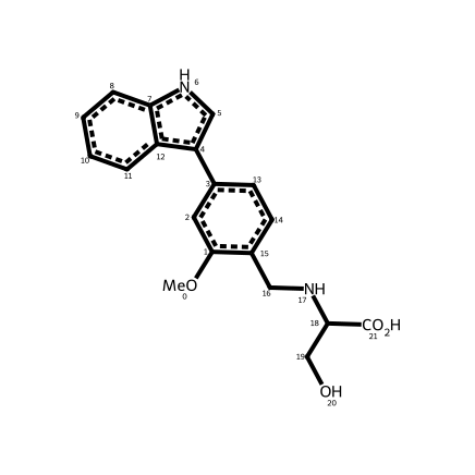 COc1cc(-c2c[nH]c3ccccc23)ccc1CNC(CO)C(=O)O